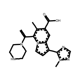 C=C(c1c(C)c(C(=O)O)cc2c(-c3ncnn3C)ccn12)N1CCNCC1